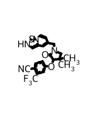 CC1(C)CN(CC2=CC3=CNSN3C=C2)C(=O)C1Oc1ccc(C#N)c(C(F)(F)F)c1